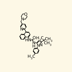 Cc1ccc(-n2nc(C(C)(C)C)cc2NC(=O)Nc2ccc(-c3ccc(CN4CCOCC4)cn3)c3ccccc23)cc1